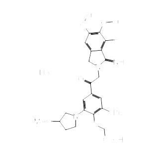 Br.CCOc1cc2c(c(F)c1OCC)C(=N)N(CC(=O)c1cc(N3CCC(OC)C3)c(OCC(=O)O)c(C(C)(C)C)c1)C2